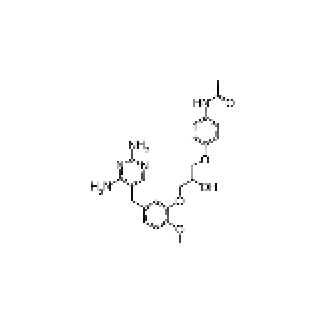 COc1ccc(Cc2cnc(N)nc2N)cc1OCC(O)COc1ccc(NC(C)=O)cc1